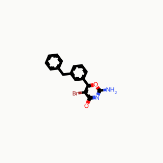 Nc1nc(=O)c(Br)c(-c2cccc(Cc3ccccc3)c2)o1